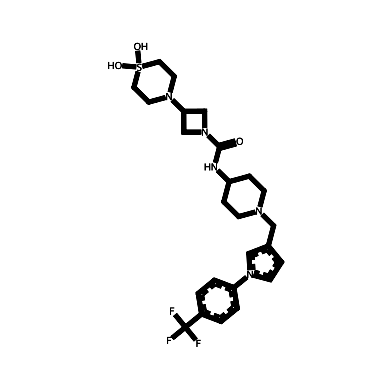 O=C(NC1CCN(Cc2ccn(-c3ccc(C(F)(F)F)cc3)c2)CC1)N1CC(N2CCS(O)(O)CC2)C1